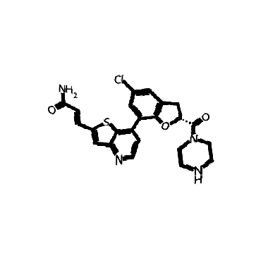 NC(=O)C=Cc1cc2nccc(-c3cc(Cl)cc4c3O[C@@H](C(=O)N3CCNCC3)C4)c2s1